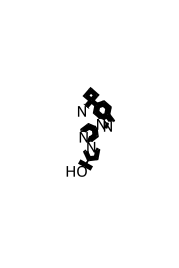 CC(C)(O)[C@@H]1CCN(c2cc(-n3ncc4ccc(C5(C#N)CCC5)cc43)ccn2)C1